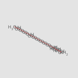 CCCNC(=O)CCOCCOCCOCCOCCOCCOCCNC(=O)CCOCCOCCOCCOCCOCCOCCOCCOCCOCCOCCOCCOCCNC(=O)CNC(=O)CNC(=O)CNC(=O)CNC(=O)CN